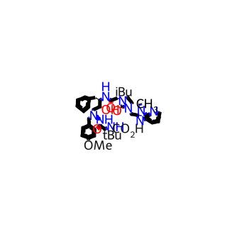 CC[C@H](C)[C@@H](C(=O)N[C@@H](Cc1ccccc1)[C@@H](O)CN(Cc1ccc(OC)cc1)NC(=O)[C@@H](NC(=O)O)C(C)(C)C)N1CCN(Cc2nc3cccnc3n2C)C1=O